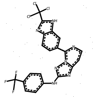 FC(F)(F)c1ccc(Nc2nc3ccnc(-c4ccc5nc(C(Cl)(Cl)Cl)[nH]c5c4)n3n2)cc1